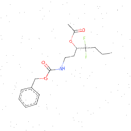 CCCC(F)(F)C(CCNC(=O)OCc1ccccc1)OC(C)=O